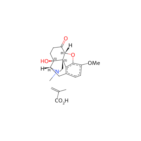 C=C(C)C(=O)O.COc1ccc2c3c1O[C@H]1C(=O)CC[C@@]4(O)[C@@H](C2)N(C)CC[C@]314